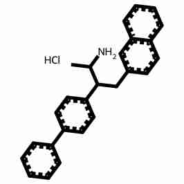 CC(N)C(Cc1ccc2ccccc2c1)c1ccc(-c2ccccc2)cc1.Cl